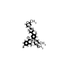 C[C@H]1CN(c2ncc(-c3cc(NC(=O)c4ccc(F)cc4C(F)F)c(N4CCN(C)[C@@H](C)C4)cc3F)cn2)CCO1